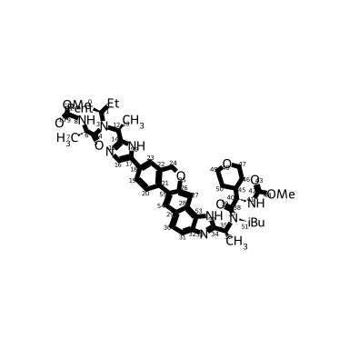 CCCC(C)[C@@H](CC)N(C(=O)[C@H](C)NC(=O)OC)[C@@H](C)c1ncc(-c2ccc3c(c2)COc2cc4c(ccc5nc([C@H](C)N(C(=O)[C@@H](NC(=O)OC)C6CCOCC6)[C@@H](C)CC)[nH]c54)cc2-3)[nH]1